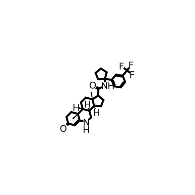 C[C@]12CCC(=O)C=C1NC[C@@H]1[C@H]2CC[C@]2(C)C(C(=O)NC3(c4cccc(C(F)(F)F)c4)CCCC3)CC[C@@H]12